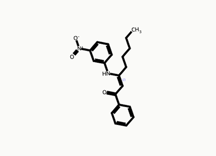 CCCCC/C(=C/C(=O)c1ccccc1)Nc1cccc([N+](=O)[O-])c1